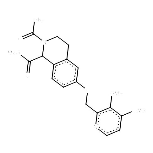 COC(=O)C1c2ccc(OCc3nccc(OC)c3OC)cc2CCN1C(=O)OCC(C)C